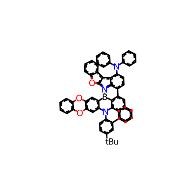 CC(C)(C)c1ccc(N2c3cc4c(cc3B3c5c(cc6ccccc6c52)-c2ccc(N(c5ccccc5)c5ccccc5)c5c6c7ccccc7oc6n3c25)Oc2ccccc2O4)c(-c2ccccc2)c1